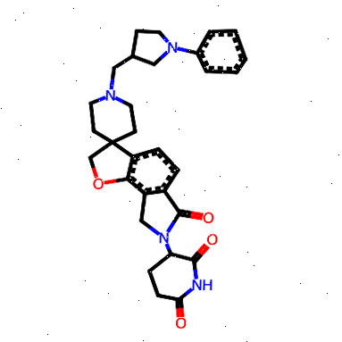 O=C1CCC(N2Cc3c(ccc4c3OCC43CCN(CC4CCN(c5ccccc5)C4)CC3)C2=O)C(=O)N1